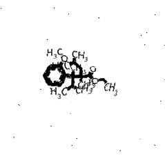 CCOC(=O)C(C)(CC(C)C)C(C)(c1ccccc1OC)C(C)C